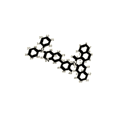 C=C1c2c(ccc3ccccc23)-c2cc3c(cc2N1c1cc(-c2ccc4cc(P(c5ccccc5)c5ccccc5)cnc4c2)ccc1C)=CCCC=3